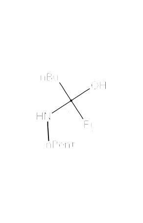 CCCCCNC(O)(CC)CCCC